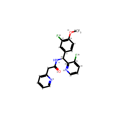 O=C(Cc1ccccn1)N[C@@H](c1ccc(OC(F)(F)F)c(F)c1)c1ncccc1F